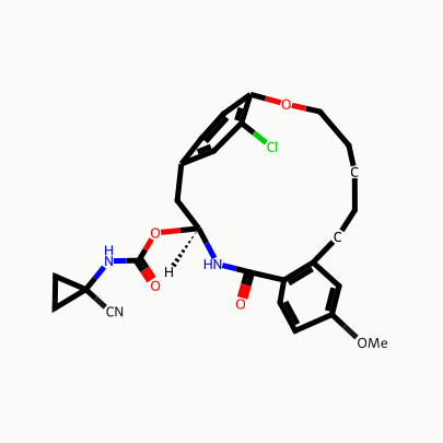 COc1ccc2c(c1)CCCCCOc1ccc(cc1Cl)C[C@H](OC(=O)NC1(C#N)CC1)NC2=O